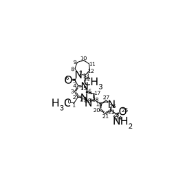 CCc1cc(C(=O)N2CCCCCC2C)nc2cc(-c3ccc(C(N)=O)nc3)nn12